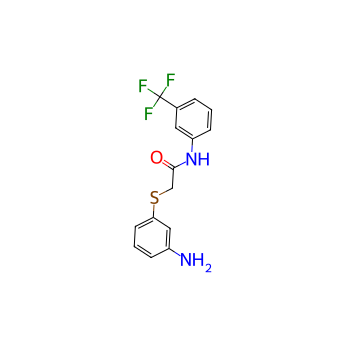 Nc1cccc(SCC(=O)Nc2cccc(C(F)(F)F)c2)c1